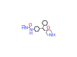 CCNC(=O)Nc1ccc(C2=CC3(CCNCC3)Oc3ccccc32)cc1